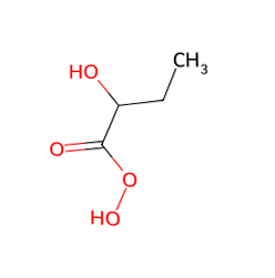 CCC(O)C(=O)OO